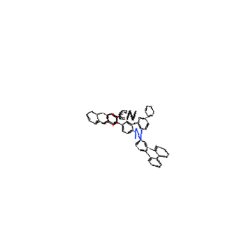 N#Cc1ccc2c(c1)C1c3ccccc3C2c2cc(-c3ccc4c(c3)c3cc(-c5ccccc5)ccc3n4-c3ccc4c5ccccc5c5ccccc5c4c3)c(C#N)cc21